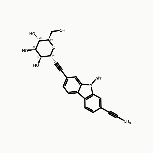 CC#Cc1ccc2c3ccc(C#C[C@H]4O[C@H](CO)[C@@H](O)[C@H](O)[C@@H]4O)cc3n(CCC)c2c1